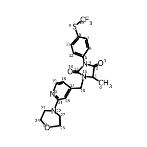 CC1C(=O)N(c2ccc(SC(F)(F)F)cc2)C(=O)N1Cc1ccnc(N2CCOCC2)c1